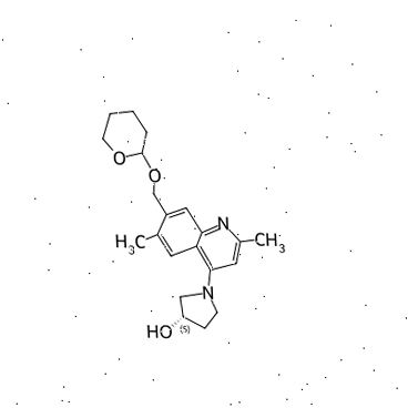 Cc1cc(N2CC[C@H](O)C2)c2cc(C)c(COC3CCCCO3)cc2n1